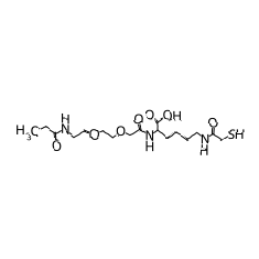 CCC(=O)NCCOCCOCC(=O)NC(CCCCNC(=O)CS)C(=O)O